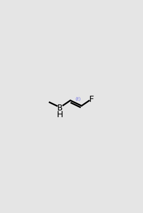 CB/C=C/F